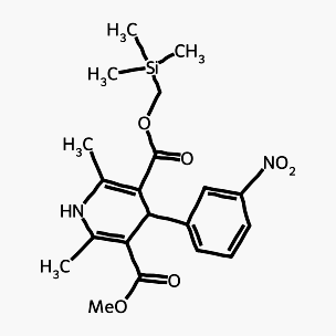 COC(=O)C1=C(C)NC(C)=C(C(=O)OC[Si](C)(C)C)C1c1cccc([N+](=O)[O-])c1